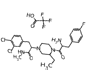 CCC1CN(C(Cc2ccc(Cl)c(Cl)c2)C(=O)NC)CCN1C(=O)C(N)Cc1ccc(F)cc1.O=C(O)C(F)(F)F